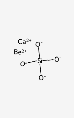 [Be+2].[Ca+2].[O-][Si]([O-])([O-])[O-]